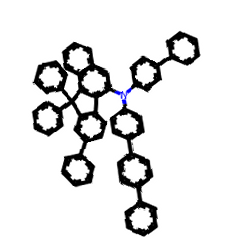 c1ccc(-c2ccc(-c3ccc(N(c4ccc(-c5ccccc5)cc4)c4cc5ccccc5c5c4-c4ccc(-c6ccccc6)cc4C5(c4ccccc4)c4ccccc4)cc3)cc2)cc1